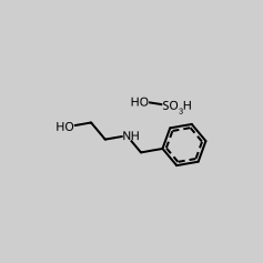 O=S(=O)(O)O.OCCNCc1ccccc1